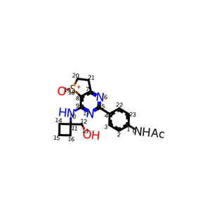 CC(=O)Nc1ccc(-c2nc3c(c(NC4(CO)CCC4)n2)[S@+]([O-])CC3)cc1